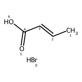 Br.CC=CC(=O)O